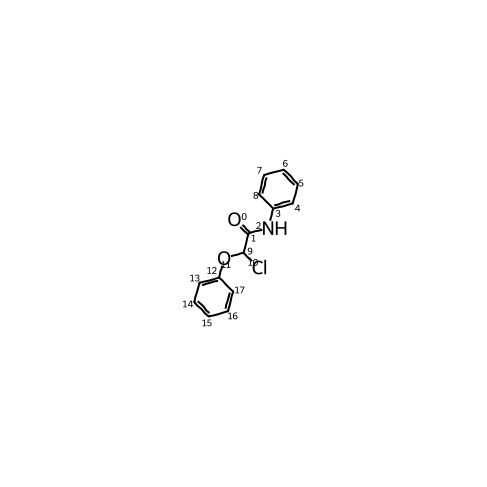 O=C(Nc1ccccc1)C(Cl)Oc1ccccc1